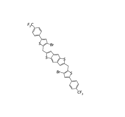 FC(F)(F)c1ccc(-c2cc(Br)c(Cc3cc4cc5sc(Cc6sc(-c7ccc(C(F)(F)F)cc7)cc6Br)cc5cc4s3)s2)cc1